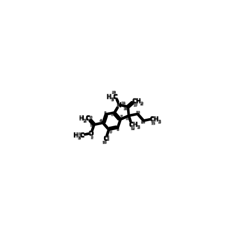 C=C(OC)c1cc2c(cc1Cl)C(C)(CCC)C(=C)N2C